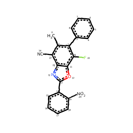 Cc1c(-c2ccccc2)c(F)c2oc(-c3ccccc3[N+](=O)[O-])nc2c1C#N